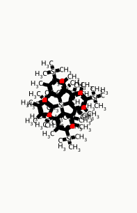 CC1=C(C)C(C)C([Si](c2c([Si](C)(C)C)c(C)c([Si](C)(C)C)c(C)c2[Si](C)(C)C)(c2c([Si](C)(C)C)c(C)c([Si](C)(C)C)c(C)c2[Si](C)(C)C)c2c([Si](C)(C)C)c(C)c([Si](C)(C)C)c(C)c2[Si](C)(C)C)=C1C